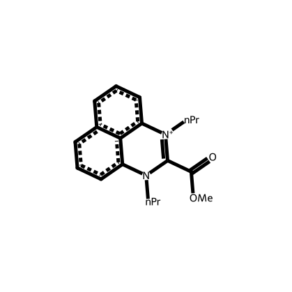 CCCN1C(C(=O)OC)=[N+](CCC)c2cccc3cccc1c23